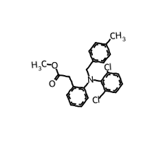 COC(=O)Cc1ccccc1N(Cc1ccc(C)cc1)c1c(Cl)cccc1Cl